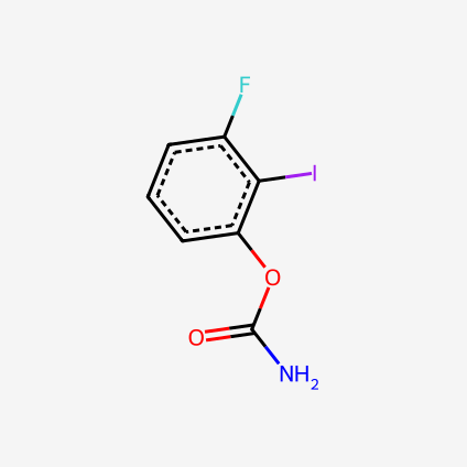 NC(=O)Oc1cccc(F)c1I